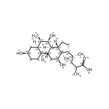 CC(C[C@@H](C)[C@H]1CC[C@H]2[C@@H]3[C@H](O)[C@H](C)[C@@H]4C[C@H](O)CC[C@]4(C)[C@H]3C[C@H](O)[C@]12C)C(=O)O